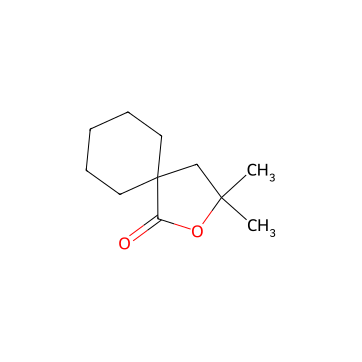 CC1(C)CC2(CCCCC2)C(=O)O1